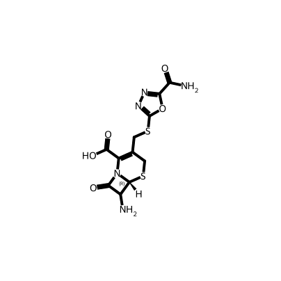 NC(=O)c1nnc(SCC2=C(C(=O)O)N3C(=O)C(N)[C@H]3SC2)o1